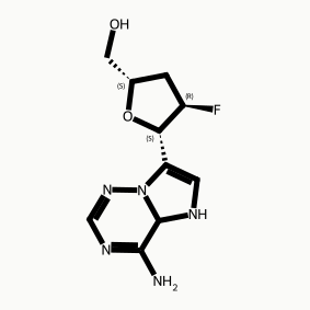 NC1=NC=NN2C([C@@H]3O[C@H](CO)C[C@H]3F)=CNC12